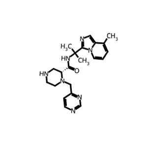 Cc1cccn2c(C(C)(C)NC(=O)[C@H]3CNCCN3Cc3ccncn3)ncc12